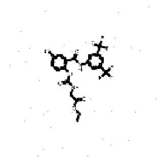 CCOC(=O)CNC(=O)Oc1ccc(Cl)cc1C(=O)Nc1cc(C(F)(F)F)cc(C(F)(F)F)c1